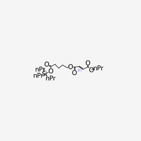 CCCOC(=O)/C=C/C(=O)OCCCCC(=O)O[Si](CCC)(CCC)CCC